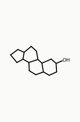 OC1CCC2CCC3C4CCCC4CCC3C2C1